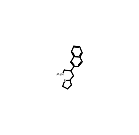 CNCC(CC1CCCS1)c1ccc2ccccc2c1